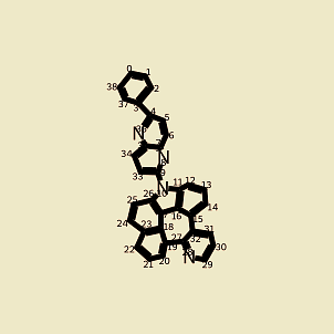 c1ccc(-c2ccc3nc(-n4c5cccc6c5c5c7c(cccc7ccc54)-c4ncccc4-6)ccc3n2)cc1